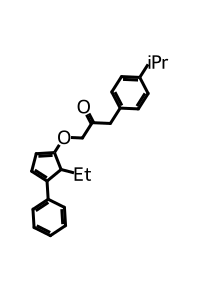 CCC1C(OCC(=O)Cc2ccc(C(C)C)cc2)=CC=C1c1ccccc1